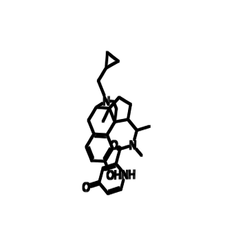 CC(C1CCC2(C)C3Cc4ccc(O)cc4C12CCN3CC1CC1)N(C)C(=O)c1cc(=O)cc[nH]1